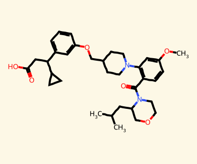 COc1ccc(C(=O)N2CCOCC2CC(C)C)c(N2CCC(COc3cccc(C(CC(=O)O)C4CC4)c3)CC2)c1